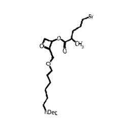 CCCCCCCCCCCCCCCCOCC1OCC1OC(=O)C(C)CCCBr